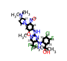 COc1cc(N2CC[C@@H](N(C)C)C2)c(N=O)cc1Nc1ncc(C(F)(F)F)c(Nc2cc(Cl)c(F)cc2C(C)(C)O)n1